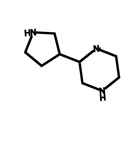 C1CNCC(C2CCNC2)[N]1